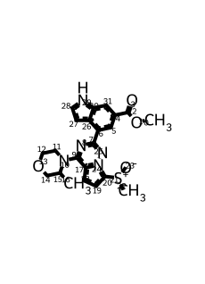 COC(=O)c1cc(-c2nc(N3CCOCC3C)c3ccc([S+](C)[O-])n3n2)c2cc[nH]c2c1